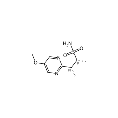 COc1cnc([C@@H](C)[C@@H](C)S(N)(=O)=O)nc1